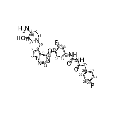 N[C@@H]1CCN(Cc2ccn3ncnc(Oc4ccc(NC(=O)NC(=O)Cc5ccc(F)cc5)cc4F)c23)C[C@H]1O